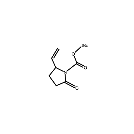 C=CC1CCC(=O)N1C(=O)OC(C)(C)C